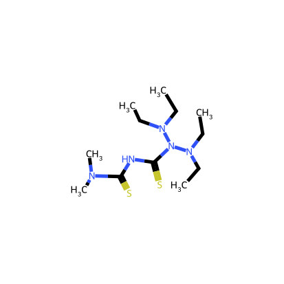 CCN(CC)N(C(=S)NC(=S)N(C)C)N(CC)CC